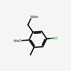 CNCc1cc(Cl)cc(C)c1OC